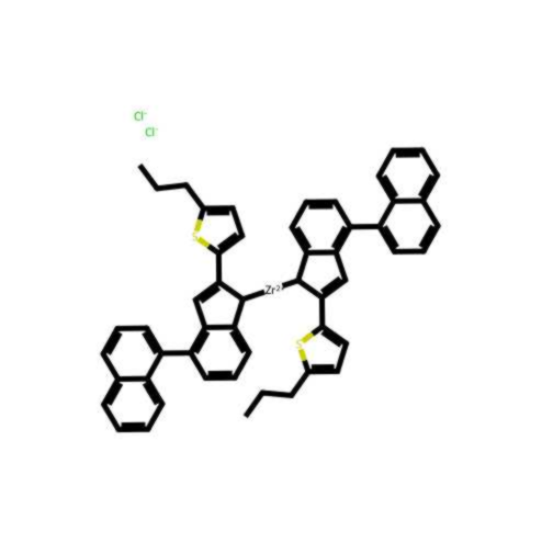 CCCc1ccc(C2=Cc3c(-c4cccc5ccccc45)cccc3[CH]2[Zr+2][CH]2C(c3ccc(CCC)s3)=Cc3c(-c4cccc5ccccc45)cccc32)s1.[Cl-].[Cl-]